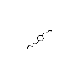 C=COCCC1CCC(COC=C)CC1